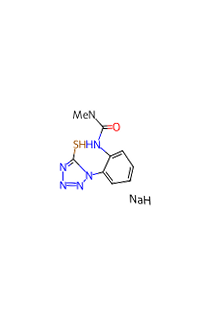 CNC(=O)Nc1ccccc1-n1nnnc1S.[NaH]